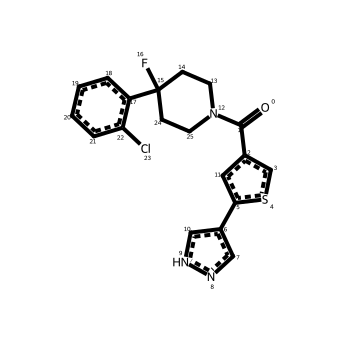 O=C(c1csc(-c2cn[nH]c2)c1)N1CCC(F)(c2ccccc2Cl)CC1